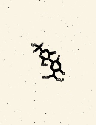 COc1nc(C(F)(F)C(F)(F)F)cc(=O)n1-c1cc(C(OC)C(=O)O)c(Cl)cc1F